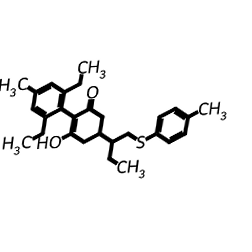 CCc1cc(C)cc(CC)c1C1=C(O)CC(C(CC)CSc2ccc(C)cc2)CC1=O